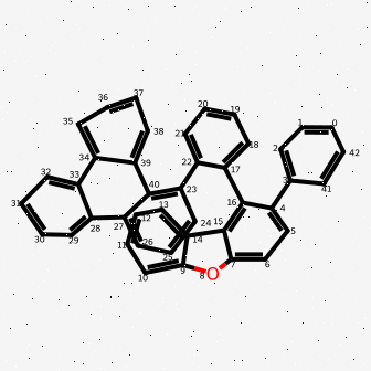 c1ccc(-c2ccc3oc4ccccc4c3c2-c2ccccc2-c2cccc3c4ccccc4c4ccccc4c23)cc1